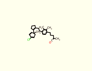 CC(=C=O)CCCc1ccc(CCC2=C(C3(C)C=CC(Cl)=CC3)CCC2)c(C)c1C